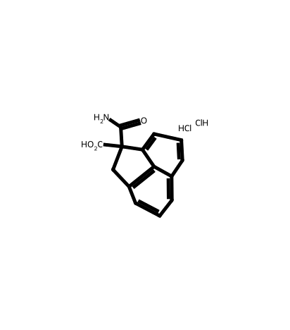 Cl.Cl.NC(=O)C1(C(=O)O)Cc2cccc3cccc1c23